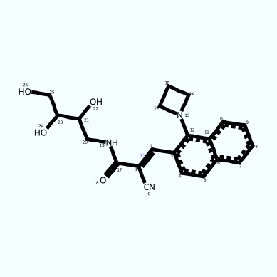 N#C/C(=C\c1ccc2ccccc2c1N1CCC1)C(=O)NCC(O)C(O)CO